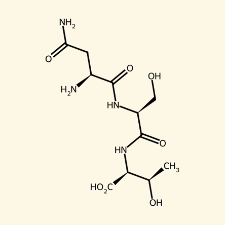 C[C@@H](O)[C@H](NC(=O)[C@H](CO)NC(=O)[C@@H](N)CC(N)=O)C(=O)O